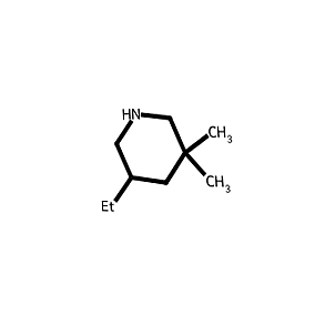 CCC1CNCC(C)(C)C1